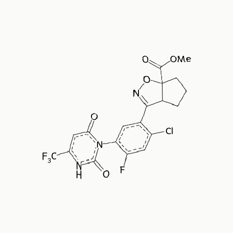 COC(=O)C12CCCC1C(c1cc(-n3c(=O)cc(C(F)(F)F)[nH]c3=O)c(F)cc1Cl)=NO2